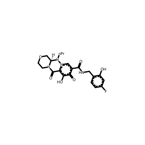 CCCN1[C@@H]2COCCN2C(=O)c2c(O)c(=O)c(C(=O)NCc3ccc(F)cc3O)cn21